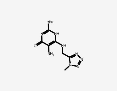 Cn1nnnc1CNc1[nH]c(C(C)(C)C)nc(=O)c1N